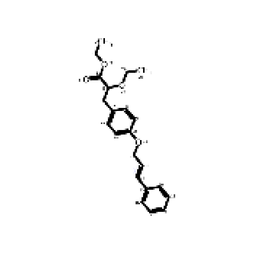 CCOC(=O)C(Cc1ccc(OC/C=C/c2ccccc2)cc1)OCC